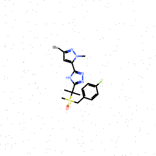 Cn1nc(C(C)(C)C)cc1-c1nnc(C(C)(C)[SH](C)(=O)Cc2ccc(F)cc2)[nH]1